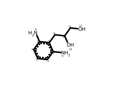 Nc1cccc(N)c1CC(O)CO